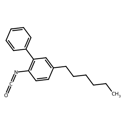 CCCCCCc1ccc(N=C=O)c(-c2ccccc2)c1